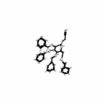 N#CCC[C@H]1OC(COCc2ccccc2)[C@@H](OCc2ccccc2)C(OCc2ccccc2)C1OCc1ccccc1